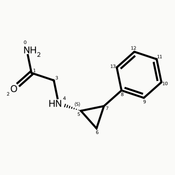 NC(=O)CN[C@H]1CC1c1ccccc1